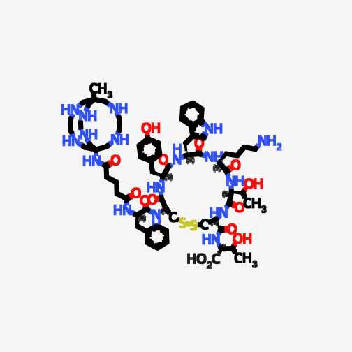 CC(O)[C@H](NC(=O)[C@@H]1CSSC[C@H](NC(=O)[C@@H](Cc2ccccc2)NC(=O)CCCC(=O)NC23CNCCNCC(C)(CNCCNC2)CNCCNC3)C(=O)N[C@@H](Cc2ccc(O)cc2)C(=O)N[C@H](Cc2c[nH]c3ccccc23)C(=O)N[C@@H](CCCCN)C(=O)N[C@@H](C(C)O)C(=O)N1)C(=O)O